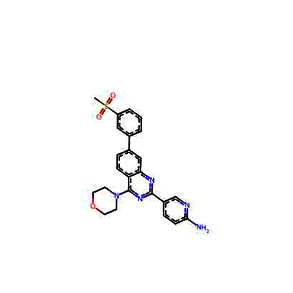 CS(=O)(=O)c1cccc(-c2ccc3c(N4CCOCC4)nc(-c4ccc(N)nc4)nc3c2)c1